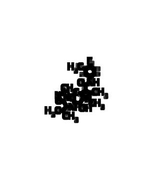 Cc1noc([C@@H](NC(=O)C(O)c2c(C)c(C(=O)Nc3ccc(F)c(C)c3)c(C)n2C)C(C)C)n1